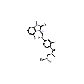 CCN(CC)CC(C)Nc1ccc(N/C=C2/C(=O)Nc3cccc(F)c32)cc1F